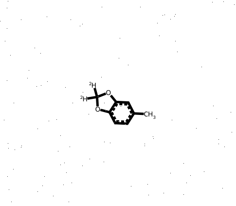 [2H]C1([2H])Oc2ccc(C)cc2O1